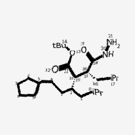 CC(C)CC(CCC1CCCC1)[C@H](C(=O)OC(C)(C)C)[C@@H](CC(C)C)C(=O)NN